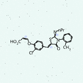 CCC/N=C1/S/C(=C\c2ccc(O/C=C\C(=O)O)c(Cl)c2)C(=O)N1c1ccccc1C